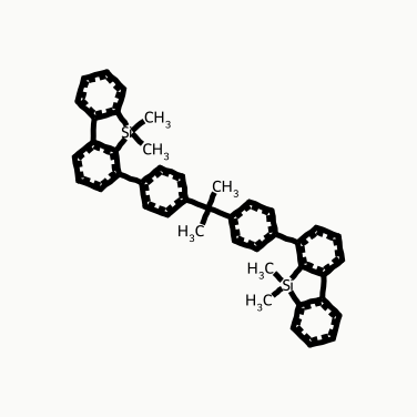 CC(C)(c1ccc(-c2cccc3c2[Si](C)(C)c2ccccc2-3)cc1)c1ccc(-c2cccc3c2[Si](C)(C)c2ccccc2-3)cc1